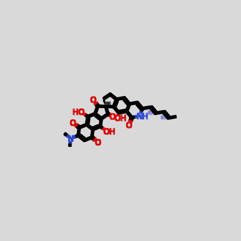 C/C=C/C=C/c1cc2cc3c(c(O)c2c(=O)[nH]1)[C@@]1(CC3)C(=O)c2c(O)c3c(c(O)c2C1=O)C(=O)C(N(C)C)=CC3=O